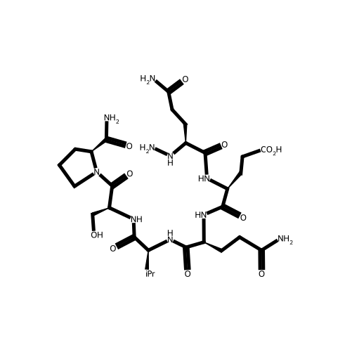 CC(C)[C@H](NC(=O)[C@H](CCC(N)=O)NC(=O)[C@H](CCC(=O)O)NC(=O)[C@H](CCC(N)=O)NN)C(=O)N[C@@H](CO)C(=O)N1CCC[C@H]1C(N)=O